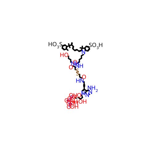 C=C(/C=C/C=C/C=C1/N(CCCCCC(=O)NC(CSSCCC(=O)NCC#Cc2cn([C@H]3C[C@@H](O)[C@@H](COP(=O)(O)OP(=O)(O)OP(=O)(O)O)O3)c3ncnc(N)c23)C(=O)NCCCCO)c2ccc(S(=O)(=O)O)cc2C1(C)C)C(C)(C)c1cc(S(=O)(=O)O)ccc1C